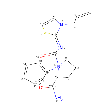 C=CCn1ccsc1=NC(=O)[N+]1(c2ccccc2)CCCC1C(N)=O